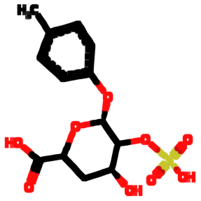 Cc1ccc(O[C@@H]2OC(C(=O)O)C[C@H](O)C2OS(=O)(=O)O)cc1